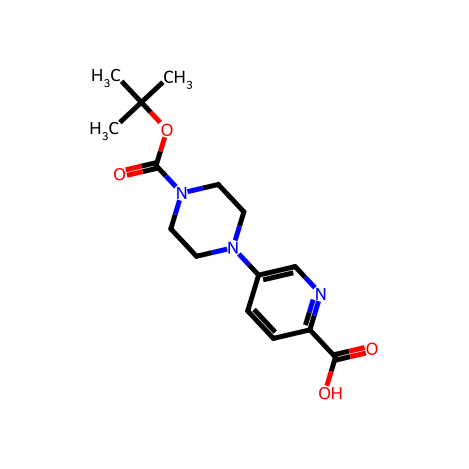 CC(C)(C)OC(=O)N1CCN(c2ccc(C(=O)O)nc2)CC1